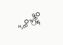 COc1cccc(CN2CCCCN(SI)CC2CS(=O)(=O)c2ccccc2)c1